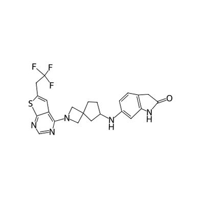 O=C1Cc2ccc(NC3CCC4(C3)CN(c3ncnc5sc(CC(F)(F)F)cc35)C4)cc2N1